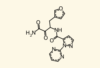 NC(=O)C(=O)C(Cc1ccoc1)NC(=O)c1ccnn1-c1ncccn1